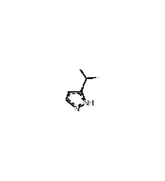 [CH2]C(C)c1ccn[nH]1